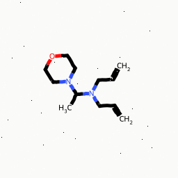 C=CCN(CC=C)C(C)N1CCOCC1